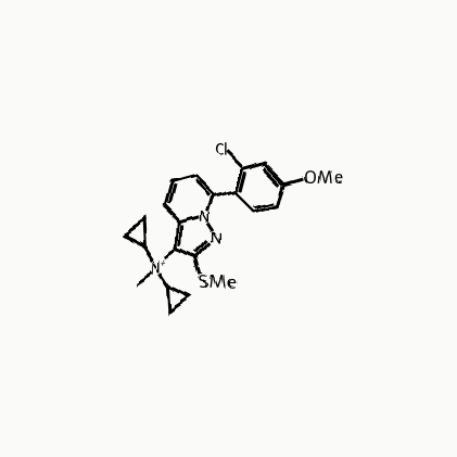 COc1ccc(-c2cccc3c([N+](C)(C4CC4)C4CC4)c(SC)nn23)c(Cl)c1